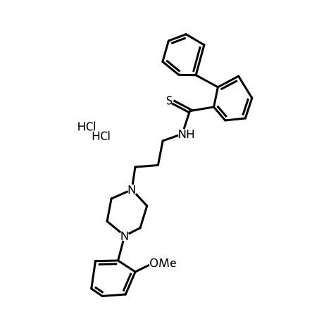 COc1ccccc1N1CCN(CCCNC(=S)c2ccccc2-c2ccccc2)CC1.Cl.Cl